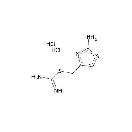 Cl.Cl.N=C(N)SCc1csc(N)n1